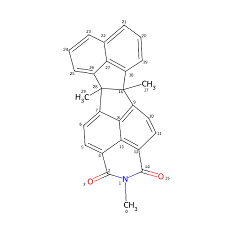 CN1C(=O)c2ccc3c4c(ccc(c24)C1=O)C1(C)c2cccc4cccc(c24)C31C